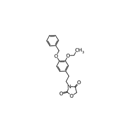 CCOc1cc(CCN2C(=O)COC2=O)ccc1OCc1ccccc1